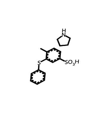 C1CCNC1.Cc1ccc(S(=O)(=O)O)cc1Sc1ccccc1